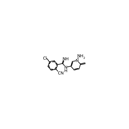 C=C1C=CC(NC(=N)c2cc(Cl)ccc2C#N)=CN1N